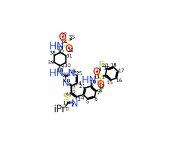 CC(C)c1nc(-c2ccc(F)c(NS(=O)(=O)c3ccccc3F)c2)c(-c2ccnc(N[C@H]3CC[C@H](NS(C)(=O)=O)CC3)n2)s1